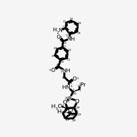 CC(C)C[C@H](NC(=O)CNC(=O)c1ccc(C(=O)Nc2ccccc2N)cc1)B1OC2C3CC(C[C@]2(C)O1)C3(C)C